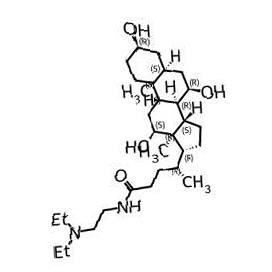 CCN(CC)CCNC(=O)CC[C@@H](C)[C@H]1CC[C@H]2[C@@H]3[C@H](O)C[C@@H]4C[C@H](O)CC[C@]4(C)[C@H]3C[C@H](O)[C@]12C